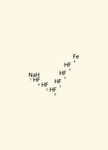 F.F.F.F.F.F.[Fe].[NaH]